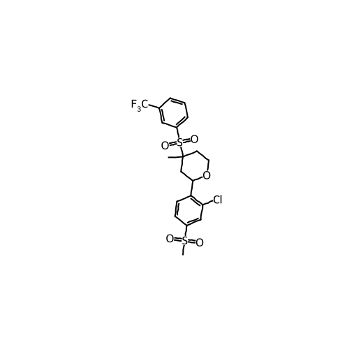 CC1(S(=O)(=O)c2cccc(C(F)(F)F)c2)CCOC(c2ccc(S(C)(=O)=O)cc2Cl)C1